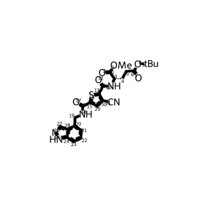 COC(=O)[C@H](CCC(=O)OC(C)(C)C)NC(=O)c1sc(C(=O)NCc2cccc3[nH]ncc23)cc1C#N